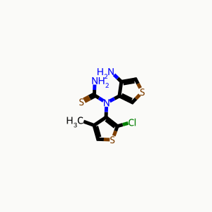 Cc1csc(Cl)c1N(C(N)=S)c1cscc1N